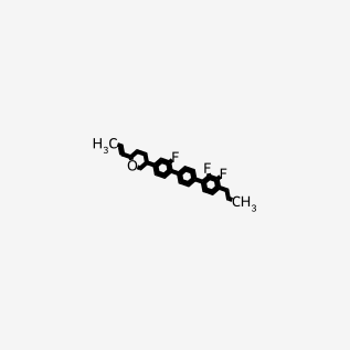 C/C=C/C1CCC(c2ccc(-c3ccc(-c4ccc(CCC)c(F)c4F)cc3)c(F)c2)CO1